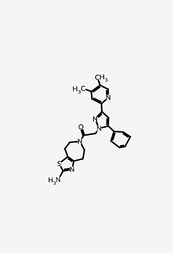 Cc1cnc(-c2cc(-c3ccccc3)n(CC(=O)N3CCc4nc(N)sc4CC3)n2)cc1C